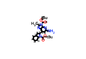 Cc1nc2c(-c3cc4ccccc4n3C(=O)OC(C)(C)C)cc(N)nc2n1C(=O)OC(C)(C)C